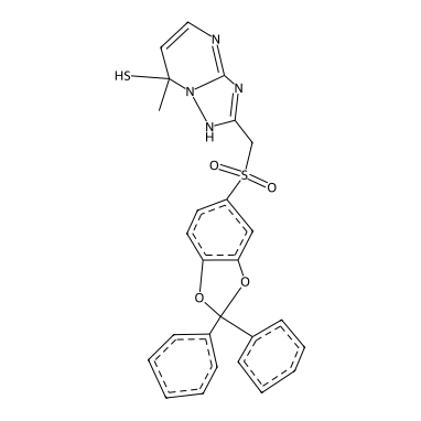 CC1(S)C=CN=C2N=C(CS(=O)(=O)c3ccc4c(c3)OC(c3ccccc3)(c3ccccc3)O4)NN21